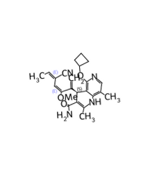 C=C(/C(=C\C(C#N)=C/C)OC)[C@@H]1C(C(N)=O)=C(C)Nc2c(C)cnc(OC3CCC3)c21